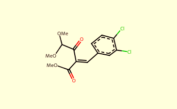 COC(=O)C(=Cc1ccc(Cl)c(Cl)c1)C(=O)C(OC)OC